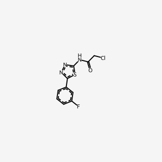 O=C(CCl)Nc1nnc(-c2cccc(F)c2)s1